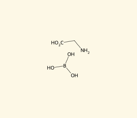 NCC(=O)O.OB(O)O